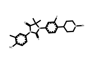 Cc1cc(N2C(=O)C(C)(C)N(c3ccc(C4CCN(C(C)C)CC4)c(F)c3)C2=S)ccc1C#N